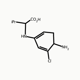 CC(C)C(NC1=CCC(N)C(Cl)=C1)C(=O)O